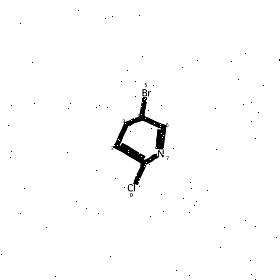 ClC1=CCC(Br)C=N1